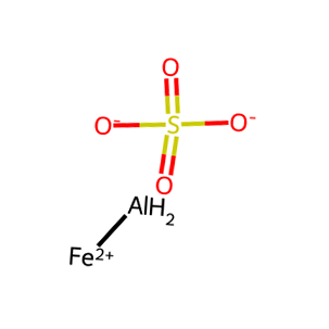 O=S(=O)([O-])[O-].[AlH2][Fe+2]